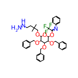 CC(C)(CCNN)COC1OC(O/C(=N/c2ccccc2)C(F)(F)F)C(OCc2ccccc2)C(OCc2ccccc2)C1OCc1ccccc1